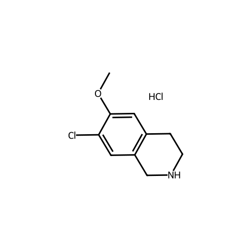 COc1cc2c(cc1Cl)CNCC2.Cl